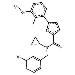 COc1cccc(-c2ccc(C(=O)N(CC3=CC(O)CC=C3)C3CC3)s2)c1F